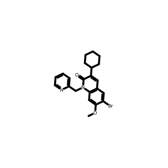 COc1cc2c(cc1Br)cc(C1CCCCC1)c(=O)n2Cc1ccccn1